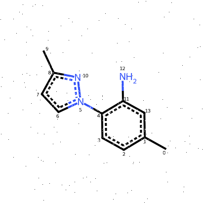 Cc1ccc(-n2ccc(C)n2)c(N)c1